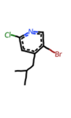 CC(C)Cc1cc(Cl)ncc1Br